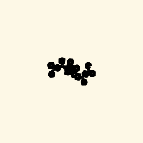 c1ccc(N(c2ccc3cc4c(cc3c2)C2(c3ccccc3-c3c2ccc2ccccc32)c2c-4ccc3cc(N(c4ccccc4)c4ccc5c(c4)c4ccccc4n5-c4ccccc4)ccc23)c2ccc3c(c2)c2ccccc2n3-c2ccccc2)cc1